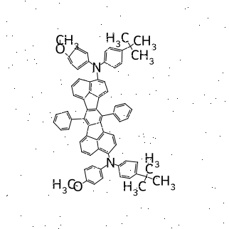 COc1ccc(N(c2ccc(C(C)(C)C)cc2)c2ccc3c4c(-c5ccccc5)c5c6ccc(N(c7ccc(OC)cc7)c7ccc(C(C)(C)C)cc7)c7cccc(c5c(-c5ccccc5)c4c4cccc2c43)c76)cc1